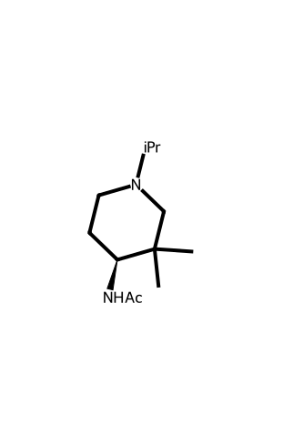 CC(=O)N[C@H]1CCN(C(C)C)CC1(C)C